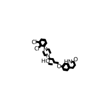 CCO.O=C1CCc2ccc(OCCCCN3CCN(c4cccc(Cl)c4Cl)CC3)cc2N1